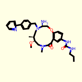 CCCNC(=O)Nc1ccc2c(c1)C1OC1N(C)C[C@H](OC)[C@@H](C)CN(Cc1ccc(-c3ccccn3)cc1)[C@@H](N)CO2